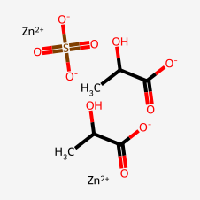 CC(O)C(=O)[O-].CC(O)C(=O)[O-].O=S(=O)([O-])[O-].[Zn+2].[Zn+2]